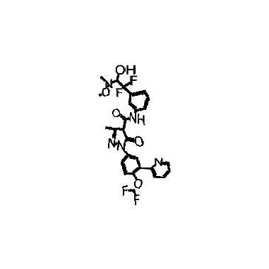 CON(C)C(O)C(F)(F)c1cccc(NC(=O)C2C(=O)N(c3ccc(OC(F)F)c(-c4ccccn4)c3)N=C2C)c1